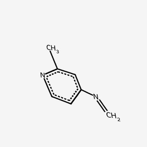 C=Nc1ccnc(C)c1